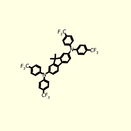 CC1(C)c2cc(N(c3ccc(C(F)(F)F)cc3)c3ccc(C(F)(F)F)cc3)ccc2-c2ccc(N(c3ccc(C(F)(F)F)cc3)c3ccc(C(F)(F)F)cc3)cc21